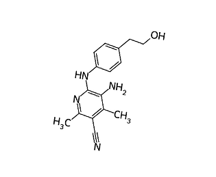 Cc1nc(Nc2ccc(CCO)cc2)c(N)c(C)c1C#N